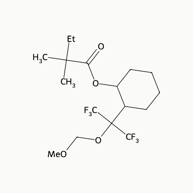 CCC(C)(C)C(=O)OC1CCCCC1C(OCOC)(C(F)(F)F)C(F)(F)F